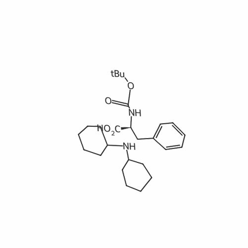 C1CCC(NC2CCCCC2)CC1.CC(C)(C)OC(=O)N[C@@H](Cc1ccccc1)C(=O)O